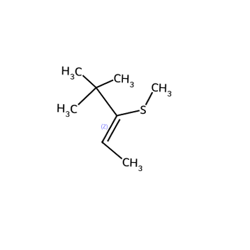 C/C=C(\SC)C(C)(C)C